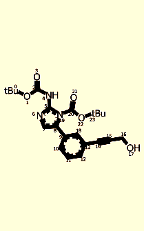 CC(C)(C)OC(=O)Nc1ncc(-c2cccc(C#CCO)c2)n1C(=O)OC(C)(C)C